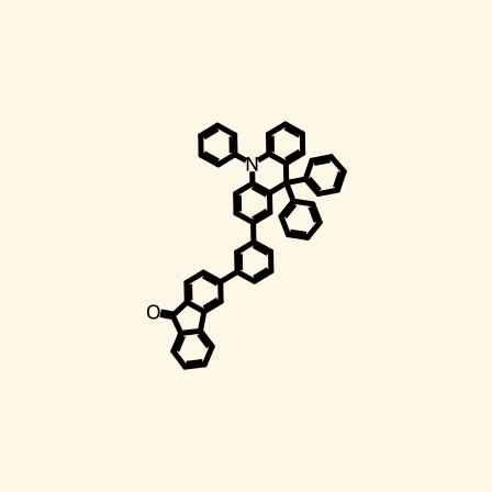 O=C1c2ccccc2-c2cc(-c3cccc(-c4ccc5c(c4)C(c4ccccc4)(c4ccccc4)c4ccccc4N5c4ccccc4)c3)ccc21